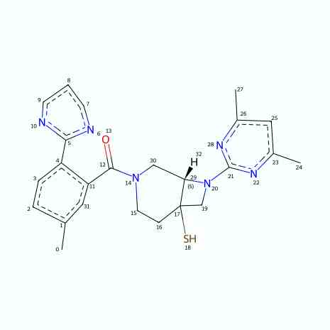 Cc1ccc(-c2ncccn2)c(C(=O)N2CCC3(S)CN(c4nc(C)cc(C)n4)[C@H]3C2)c1